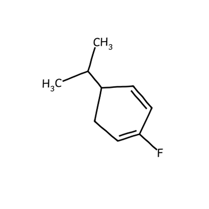 CC(C)C1C=CC(F)=CC1